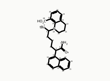 CC(C)(C)C(CCCC(C(N)=O)c1cccc2ccccc12)N1CCCc2cccc(C(=O)O)c21